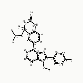 CCn1c(-c2cnc(C)nc2)nc2c(-c3ccc4c(c3)[C@@](C)(CC(C)C)OC(=O)N4)ncnc21